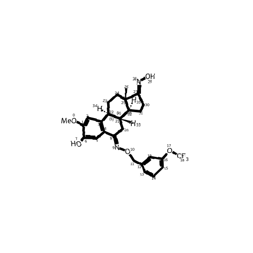 COc1cc2c(cc1O)C(=NOCc1cccc(OC(F)(F)F)c1)C[C@@H]1[C@@H]2CC[C@]2(C)C(=NO)CC[C@@H]12